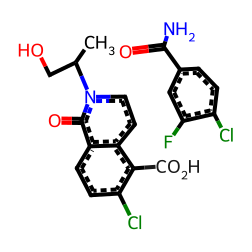 CC(CO)n1ccc2c(C(=O)O)c(Cl)ccc2c1=O.NC(=O)c1ccc(Cl)c(F)c1